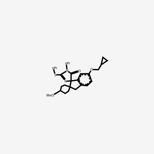 CCCSC1=NC2(C(=O)N1CCC)c1cc(OCC3CC3)ccc1CC21CCC(OC)CC1